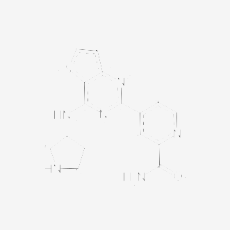 NC(=O)c1cc(-c2nc(N[C@@H]3CCNC3)c3sccc3n2)ccn1